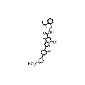 C/C=C(/C)c1ccccc1CCNC(=O)c1cc(CC)n2nc(-c3ccc(N4CC[C@H](C(=O)O)C4)cc3F)cc2c1C